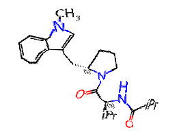 CC(C)C(=O)N[C@H](C(=O)N1CCC[C@H]1Cc1cn(C)c2ccccc12)C(C)C